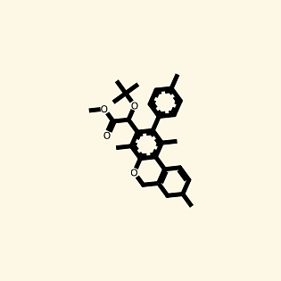 COC(=O)C(OC(C)(C)C)c1c(C)c2c(c(C)c1-c1ccc(C)cc1)C1=C(CO2)CC(C)C=C1